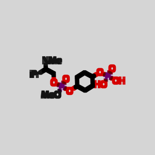 CNC(COP(=O)(OC)OC1CCC(OP(=O)(O)O)CC1)C(C)C